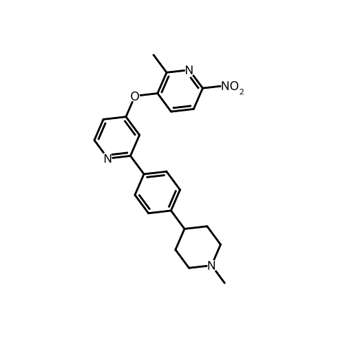 Cc1nc([N+](=O)[O-])ccc1Oc1ccnc(-c2ccc(C3CCN(C)CC3)cc2)c1